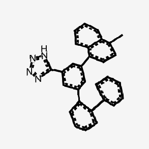 Cc1ccc(-c2cc(-c3nnn[nH]3)cc(-c3ccccc3-c3ccccc3)c2)c2ccccc12